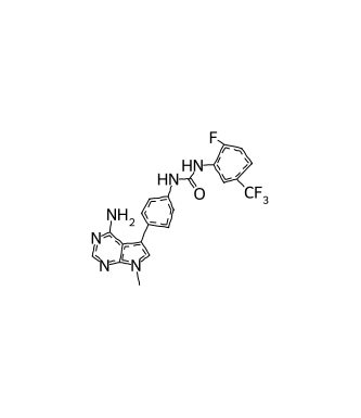 Cn1cc(-c2ccc(NC(=O)Nc3cc(C(F)(F)F)ccc3F)cc2)c2c(N)ncnc21